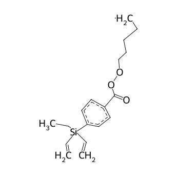 [CH2]CCCCOOC(=O)c1ccc([Si](C=C)(C=C)CC)cc1